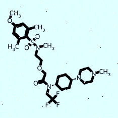 COc1cc(C)c(S(=O)(=O)N(C)CCOCC(=O)N(CC(F)(F)F)[C@H]2CC[C@@H](N3CCN(C)CC3)CC2)c(C)c1